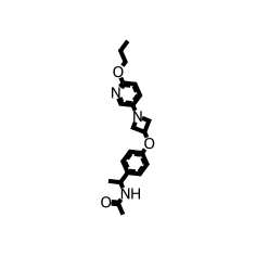 CCCOc1ccc(N2CC(Oc3ccc(C(C)NC(C)=O)cc3)C2)cn1